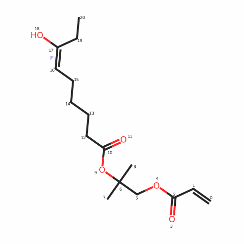 C=CC(=O)OCC(C)(C)OC(=O)CCCC/C=C(/O)CC